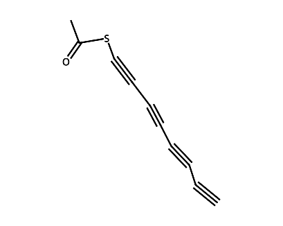 C#CC#CC#CC#CSC(C)=O